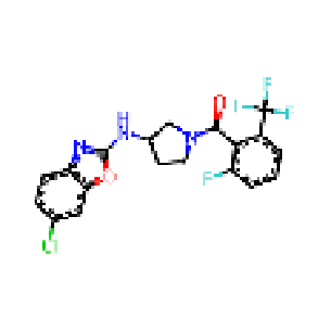 O=C(c1c(F)cccc1C(F)(F)F)N1CC[C@@H](Nc2nc3ccc(Cl)cc3o2)C1